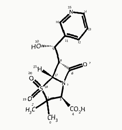 CC1(C)[C@H](C(=O)O)N2C(=O)[C@@H]([C@H](O)c3cccnc3)[C@H]2S1(=O)=O